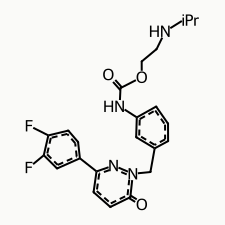 CC(C)NCCOC(=O)Nc1cccc(Cn2nc(-c3ccc(F)c(F)c3)ccc2=O)c1